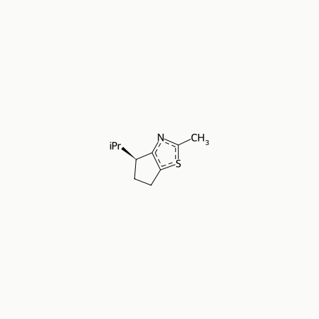 Cc1nc2c(s1)CC[C@H]2C(C)C